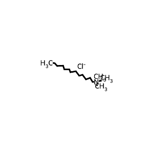 CCCCCCCCCCCCC[N+](C)(C)CC.[Cl-]